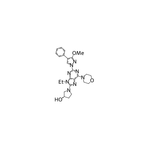 CCn1c(N2CC[C@@H](O)C2)nc2c(N3CCOCC3)nc(-n3cc(-c4ccccc4)c(OC)n3)nc21